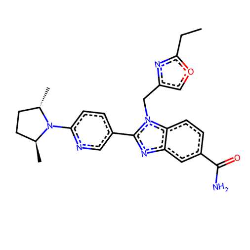 CCc1nc(Cn2c(-c3ccc(N4[C@@H](C)CC[C@@H]4C)nc3)nc3cc(C(N)=O)ccc32)co1